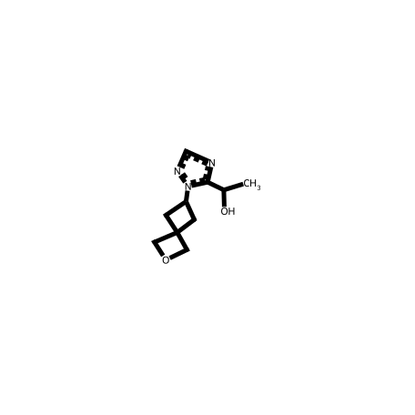 CC(O)c1ncnn1C1CC2(COC2)C1